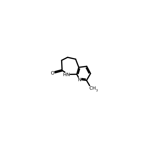 Cc1ccc2c(n1)NC(=O)CCC2